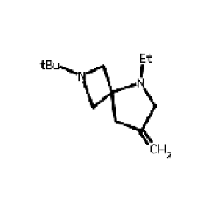 C=C1CN(CC)C2(C1)CN(C(C)(C)C)C2